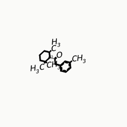 Cc1cccc(CC(=O)[C@H]2C(C)CCCC2(C)C)c1